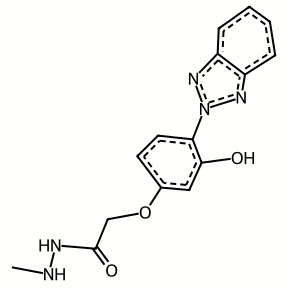 CNNC(=O)COc1ccc(-n2nc3ccccc3n2)c(O)c1